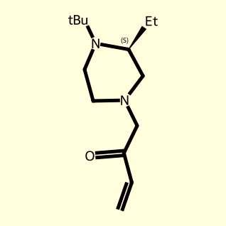 C=CC(=O)CN1CCN(C(C)(C)C)[C@@H](CC)C1